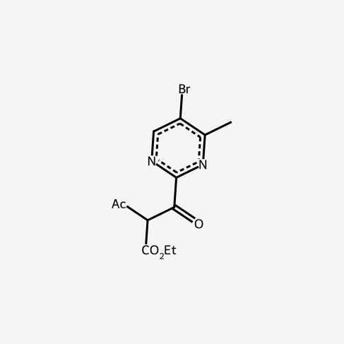 CCOC(=O)C(C(C)=O)C(=O)c1ncc(Br)c(C)n1